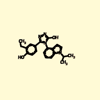 CCc1cc(-c2nnc(O)n2-c2cccc3c2ccn3C(C)C)ccc1O